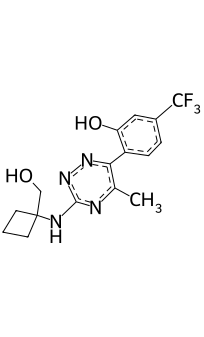 Cc1nc(NC2(CO)CCC2)nnc1-c1ccc(C(F)(F)F)cc1O